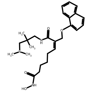 CN(C)CC(C)(C)CNC(=O)C(=CCCCCC(=O)NO)COc1cccc2ccccc12